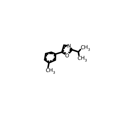 Cc1cccc(-c2cnc(C(C)C)o2)c1